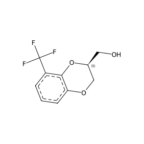 OC[C@H]1COc2cccc(C(F)(F)F)c2O1